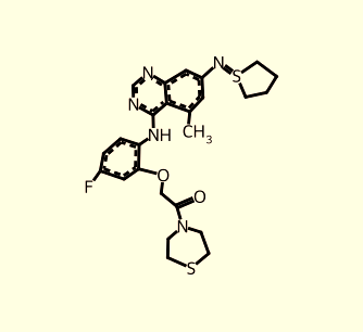 Cc1cc(N=S2CCCC2)cc2ncnc(Nc3ccc(F)cc3OCC(=O)N3CCSCC3)c12